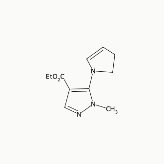 CCOC(=O)c1cnn(C)c1N1C=CCC1